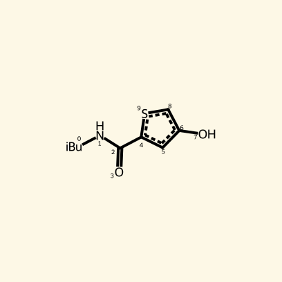 CCC(C)NC(=O)c1cc(O)cs1